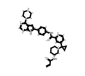 C=CC(=O)N[C@@H]1CCCN(C2(c3ccnc(C(=O)Nc4ccc(-c5cc6c(N7CCOCC7)ncnc6[nH]5)cc4)c3)CC2)C1